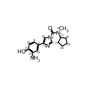 CN(C(=O)n1cnc(-c2ccc(O)c(N)c2)c1)C1CCCC1